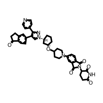 O=C1CCC(N2C(=O)c3ccc(N4CCC(O[C@H]5CCC[C@@H](n6cc(-c7ccc8c(c7)CCC8=O)c(-c7ccncc7)n6)C5)CC4)cc3C2=O)C(=O)N1